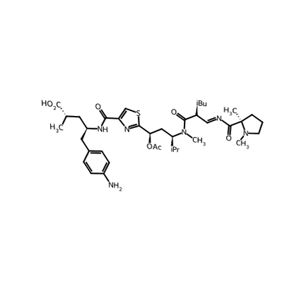 CC[C@H](C)C(/C=N/C(=O)[C@@]1(C)CCCN1C)C(=O)N(C)[C@H](C[C@@H](OC(C)=O)c1nc(C(=O)N[C@@H](Cc2ccc(N)cc2)C[C@H](C)C(=O)O)cs1)C(C)C